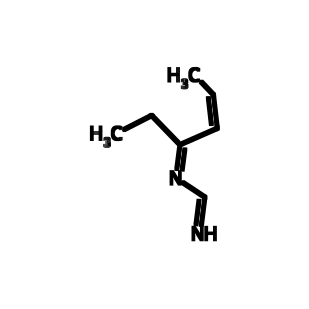 C/C=C\C(CC)=N/C=N